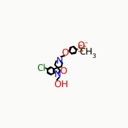 C[S+]([O-])c1ccc(OCCN2CCC3(CC2)C(=O)N(CCO)c2ccc(Cl)cc23)cc1